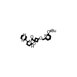 CCC(C)Oc1cccc(COC2CC3(C2)O[C@@H]2CC[C@@H](c4cnccn4)N2C3=O)n1